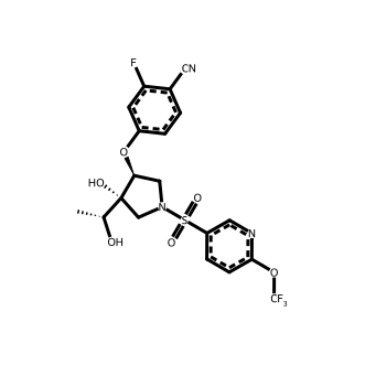 C[C@@H](O)[C@]1(O)CN(S(=O)(=O)c2ccc(OC(F)(F)F)nc2)C[C@@H]1Oc1ccc(C#N)c(F)c1